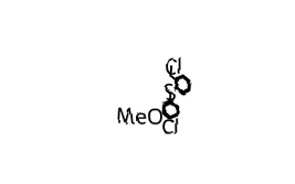 COc1cc(Sc2ccccc2CCl)ccc1Cl